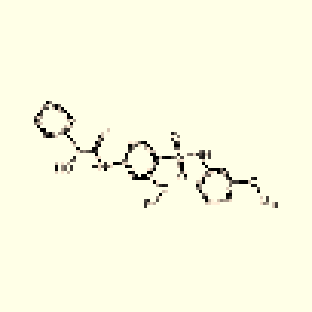 CCOc1cc(NC(=O)[C@@H](O)c2ccccc2)ccc1S(=O)(=O)Nc1cccc(OC(F)(F)F)c1